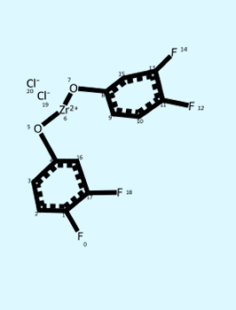 Fc1ccc([O][Zr+2][O]c2ccc(F)c(F)c2)cc1F.[Cl-].[Cl-]